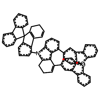 C1=CC2=C(CC1)C1(c3ccccc3-c3ccccc31)c1cccc(-n3c4c(c5c(-c6ccc7oc8ccccc8c7c6)cccc53)C(c3ccc5oc6ccccc6c5c3)=CCC4)c12